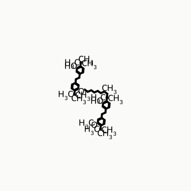 COc1cc(CCc2ccc(C(C)(C)CC(C)CCCCCCOc3cc(CCc4ccc(C(C)(C)C)c(O)c4)ccc3C(C)(C)C)c(O)c2)ccc1C(C)(C)C